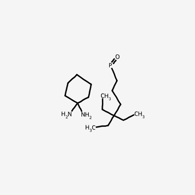 CCC(CC)(CC)CCCP=O.NC1(N)CCCCC1